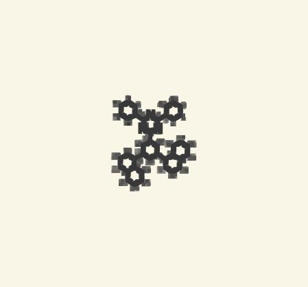 c1ccc(-c2nc(-c3ccccc3)nc(-c3cc(-c4cccc5ccccc45)cc(-c4cccc5ccccc45)c3)n2)cc1